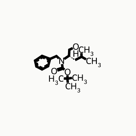 CC(C)C[C@@H](CO)N(Cc1ccccc1)C(=O)OC(C)(C)C